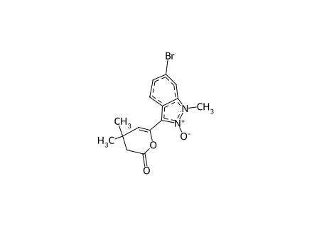 Cn1c2cc(Br)ccc2c(C2=CC(C)(C)CC(=O)O2)[n+]1[O-]